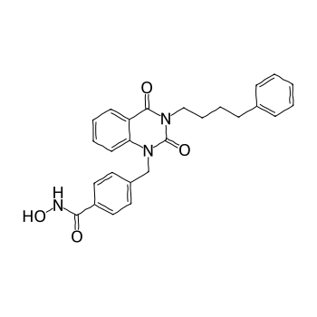 O=C(NO)c1ccc(Cn2c(=O)n(CCCCc3ccccc3)c(=O)c3ccccc32)cc1